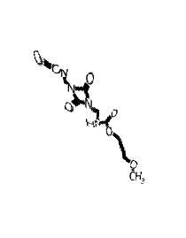 COCCOC(=O)NCN1C(=O)N(CN=C=O)C1=O